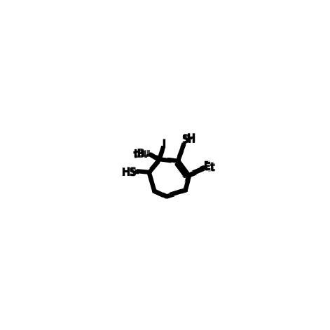 CCC1=C(S)C(I)(C(C)(C)C)C(S)CCC1